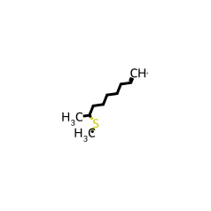 [CH]=CCCCCCC(C)SC